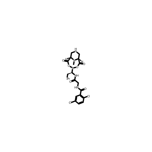 CC(C)C[C@H](NC(=O)CNC(=O)c1cc(Cl)ccc1Cl)B1OC(=O)[C@H]2CNC[C@@H](C(=O)O1)N2C